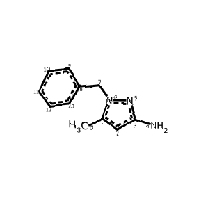 Cc1cc(N)nn1Cc1ccccc1